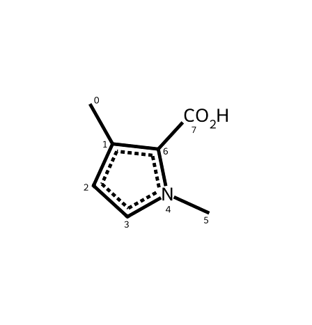 Cc1ccn(C)c1C(=O)O